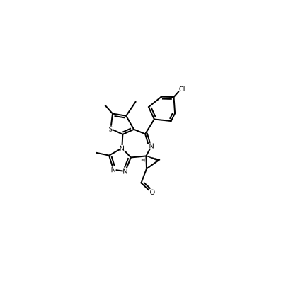 Cc1sc2c(c1C)C(c1ccc(Cl)cc1)=N[C@@]1(CC1C=O)c1nnc(C)n1-2